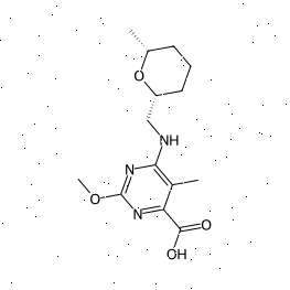 COc1nc(NC[C@H]2CCC[C@@H](C)O2)c(C)c(C(=O)O)n1